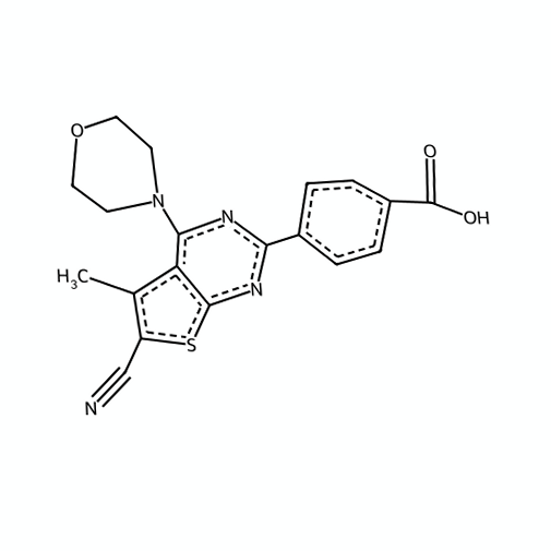 Cc1c(C#N)sc2nc(-c3ccc(C(=O)O)cc3)nc(N3CCOCC3)c12